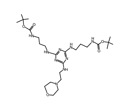 CC(C)(C)OC(=O)NCCCNc1nc(NCCCNC(=O)OC(C)(C)C)nc(NCCN2CCOCC2)n1